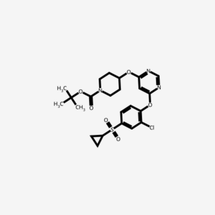 CC(C)(C)OC(=O)N1CCC(Oc2cc(Oc3ccc(S(=O)(=O)C4CC4)cc3Cl)ncn2)CC1